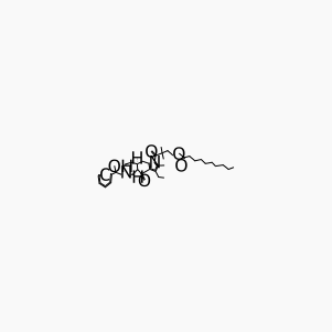 CCCCCCCCCC(=O)OCCC(C)(C)C(=O)n1c(C)c(CC)c2c1C[C@@H]1CCN(CC(O)c3ccccc3)C[C@H]1C2=O